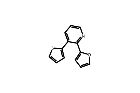 c1coc(-c2ncccc2-c2cccs2)c1